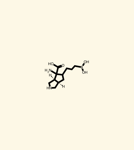 NC1(C(=O)O)C(CCCB(O)O)C[C@H]2CNC[C@H]21